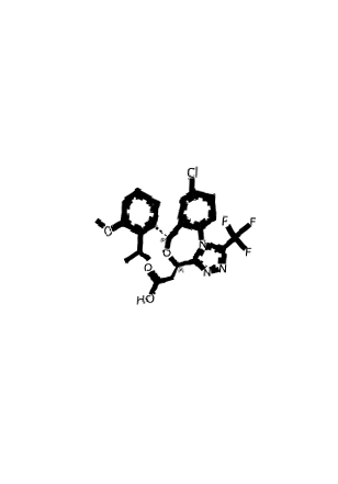 COc1cccc([C@H]2O[C@H](CC(=O)O)c3nnc(C(F)(F)F)n3-c3ccc(Cl)cc32)c1C(C)C